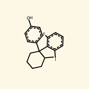 CC1CCCCC1(c1ccc(O)cc1)c1c(F)cccc1I